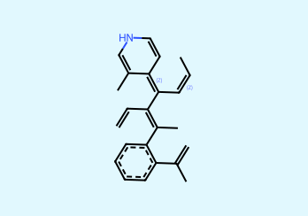 C=CC(=C(C)c1ccccc1C(=C)C)C(/C=C\C)=C1/C=CNC=C1C